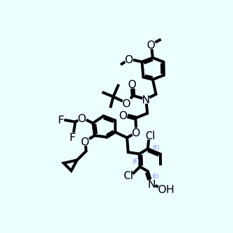 C\C=C(Cl)/C(CC(OC(=O)CN(Cc1ccc(OC)c(OC)c1)C(=O)OC(C)(C)C)c1ccc(OC(F)F)c(OCC2CC2)c1)=C(Cl)\C=N\O